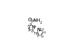 NC(=O)c1csc(Cc2ccccn2)n1